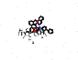 CC(C)(C)c1cc(-c2cccc3cccc(-c4ccccc4N(c4ccc(-c5ccccc5)cc4)c4ccc5ccccc5c4)c23)cc(C(C)(C)C)c1